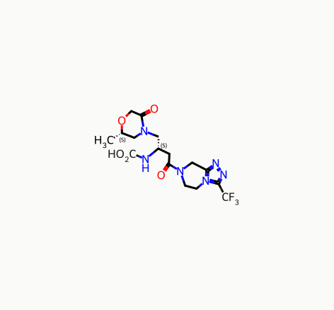 C[C@H]1CN(C[C@H](CC(=O)N2CCn3c(nnc3C(F)(F)F)C2)NC(=O)O)C(=O)CO1